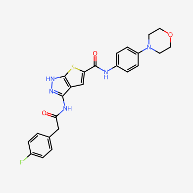 O=C(Cc1ccc(F)cc1)Nc1n[nH]c2sc(C(=O)Nc3ccc(N4CCOCC4)cc3)cc12